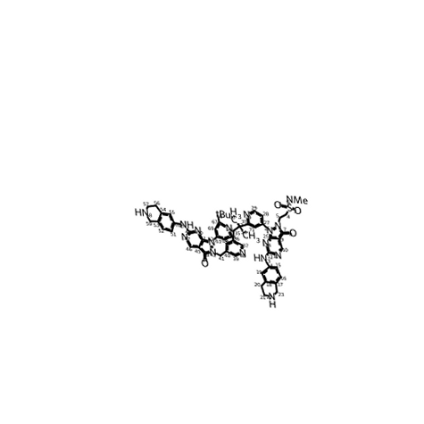 CNS(=O)(=O)CCn1c(=O)c2cnc(Nc3ccc4c(c3)CCNC4)nc2n1-c1ccnc(C(C)(C)Cc2cncc(Cn3c(=O)c4cnc(Nc5ccc6c(c5)CCNC6)nc4n3-c3ccnc(C(C)(C)C)c3)c2)c1